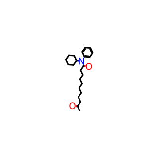 CC(=O)CCCCCCCCC(=O)N(c1ccccc1)C1CCCCC1